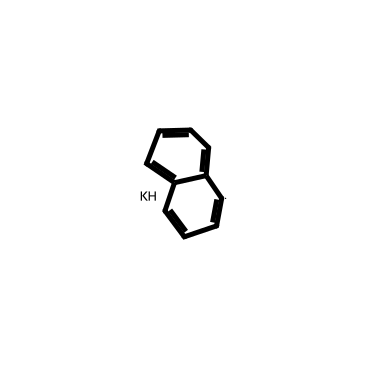 [KH].[c]1cccc2ccccc12